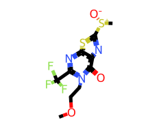 COCCn1c(C(F)(F)F)nc2sc([S+](C)[O-])nc2c1=O